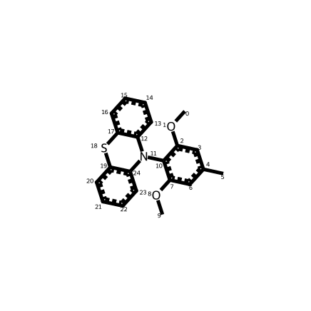 COc1cc(C)cc(OC)c1N1c2ccccc2Sc2ccccc21